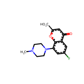 CN1CCN(c2cc(F)cc3c(=O)cc(C(=O)O)oc23)CC1